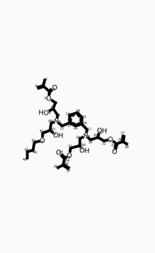 C=C(C)C(=O)OCC(O)CN(Cc1cccc(CN(CC(O)COC(=O)C(=C)C)CC(O)COC(=O)C(=C)C)c1)CC(O)COCCCC